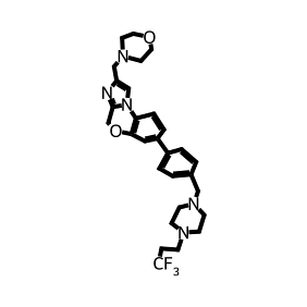 FC(F)(F)CCN1CCN(Cc2ccc(-c3ccc4c(c3)OCc3nc(CN5CCOCC5)cn3-4)cc2)CC1